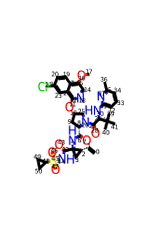 C=C[C@@H]1C[C@]1(NC(=O)[C@@H]1C[C@@H](Oc2ncc(OC)c3ccc(Cl)cc23)CN1C(=O)[C@@H](Nc1cccc(C)n1)C(C)(C)C)C(=O)NS(=O)(=O)C1CC1